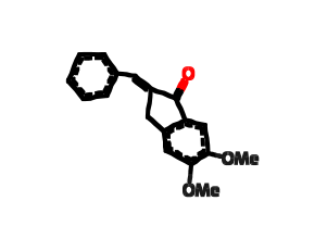 COc1cc2c(cc1OC)C(=O)C(=Cc1ccccc1)C2